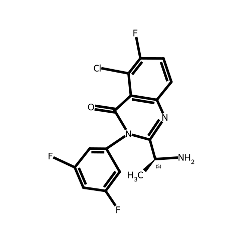 C[C@H](N)c1nc2ccc(F)c(Cl)c2c(=O)n1-c1cc(F)cc(F)c1